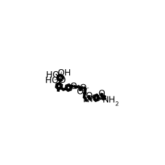 Cc1ccc([C@@H]2OC[C@@H](O)[C@H](O)[C@H]2O)cc1Cc1ccc(OCCC(=O)O[C@H](C)C#CCN(C)C(=O)CN2CCN(C(=O)C(C)(C)N)CC2)cc1